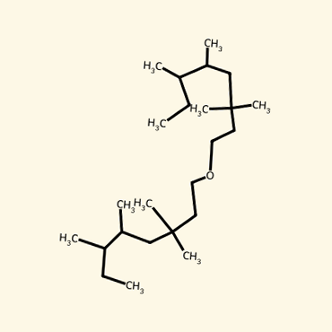 CCC(C)C(C)CC(C)(C)CCOCCC(C)(C)CC(C)C(C)CC